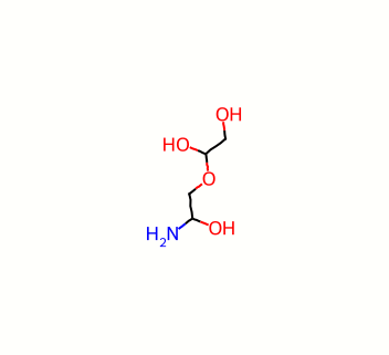 NC(O)COC(O)CO